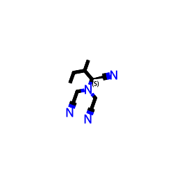 CCC(C)[C@@H](C#N)N(CC#N)CC#N